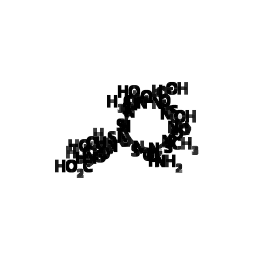 Cc1sc2nc1C(=O)N[C@@H]([C@H](O)c1ccccc1)c1nc(cs1)C(=O)N[C@@H](Cc1ccc(O)cc1)C(=O)N1C[C@H](O)[C@H](C)[C@H]1c1nc(cs1)-c1nc(cs1)-c1nc(-c3nc(C(=O)N[C@H](C(=O)NCC(=O)O)C(C)(C)O)cs3)ccc1-c1nc(cs1)C(=O)N[C@H]2CC(N)=O